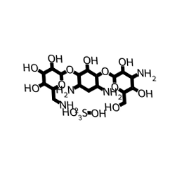 NCC1OC(OC2C(N)CC(N)C(OC3OC(CO)C(O)C(N)C3O)C2O)C(O)C(O)C1O.O=S(=O)(O)O